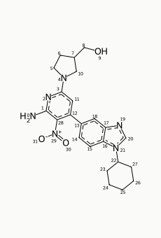 Nc1nc(N2CCC(CO)C2)cc(-c2ccc3c(c2)ncn3C2CCCCC2)c1[N+](=O)[O-]